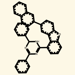 c1ccc(C2=NC(c3ccccc3)NC(c3cccc4oc5ccc(-c6ccc7ccccc7c6)cc5c34)=N2)cc1